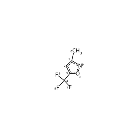 Cc1[c]c(C(F)(F)F)on1